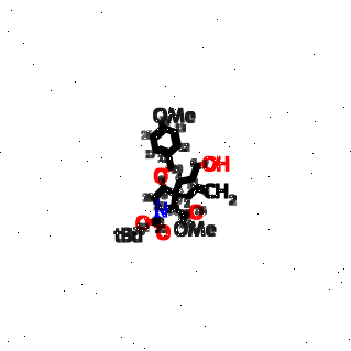 C=CC[C@]1(CCCO)C(OCc2ccc(OC)cc2)CN(C(=O)OC(C)(C)C)[C@@H]1C(=O)OC